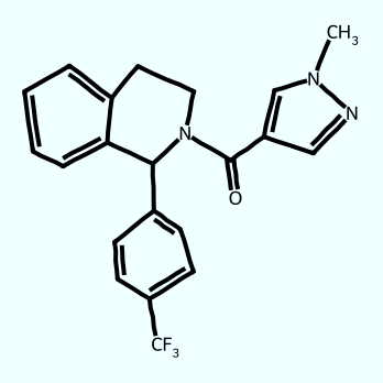 Cn1cc(C(=O)N2CCc3ccccc3C2c2ccc(C(F)(F)F)cc2)cn1